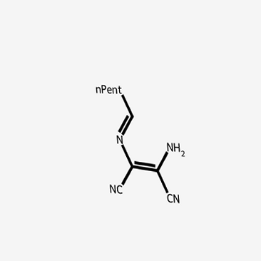 CCCCCC=NC(C#N)=C(N)C#N